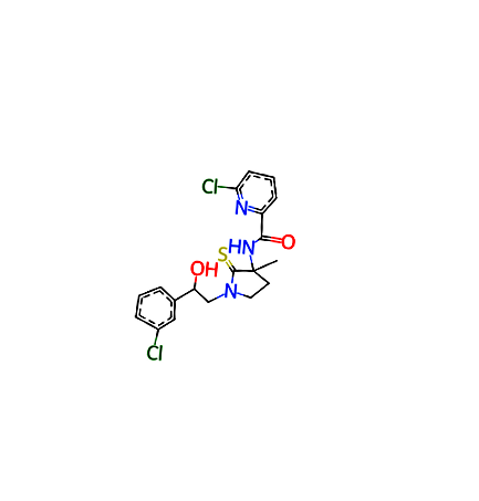 CC1(NC(=O)c2cccc(Cl)n2)CCN(CC(O)c2cccc(Cl)c2)C1=S